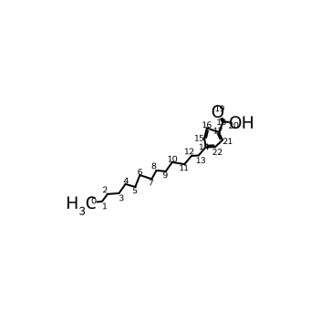 CCCCCCCCCCCCCCc1ccc(C(=O)O)cc1